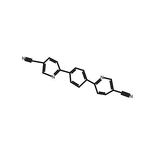 N#Cc1ccc(-c2ccc(-c3ccc(C#N)cn3)cc2)nc1